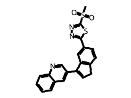 CS(=O)(=O)c1nnc(-c2ccc3c(c2)C(c2cnc4ccccc4c2)=CC3)s1